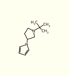 CC(C)(C)N1CCC(n2cccc2)C1